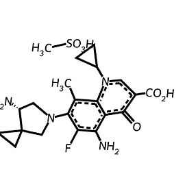 CS(=O)(=O)O.Cc1c(N2C[C@@H](N)C3(CC3)C2)c(F)c(N)c2c(=O)c(C(=O)O)cn(C3CC3)c12